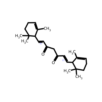 CC1=CCCC(C)(C)C1/C=C/C(=O)CC(=O)/C=C/C1C(C)=CCCC1(C)C